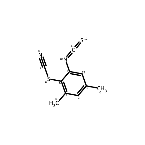 Cc1cc(C)c(SC#N)c(N=C=S)c1